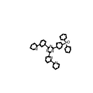 O=P(c1ccccc1)(c1ccccc1)c1ccc(-c2nc(-c3cccc(-c4ccccn4)c3)nc(-c3cccc(-c4ccccn4)n3)n2)cc1